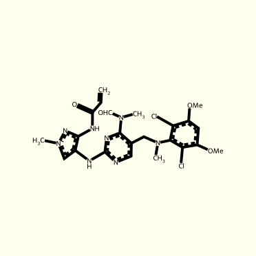 C=CC(=O)Nc1nn(C)cc1Nc1ncc(CN(C)c2c(Cl)c(OC)cc(OC)c2Cl)c(N(C)C=O)n1